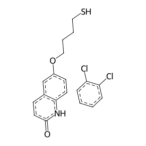 Clc1ccccc1Cl.O=c1ccc2cc(OCCCCS)ccc2[nH]1